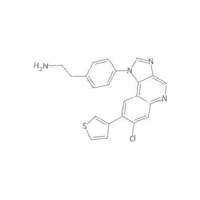 NCCc1ccc(-n2cnc3cnc4cc(Cl)c(-c5ccsc5)cc4c32)cc1